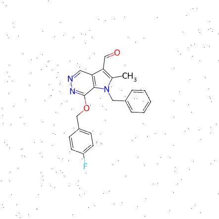 Cc1c(C=O)c2cnnc(OCc3ccc(F)cc3)c2n1Cc1ccccc1